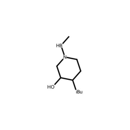 CBN1CCC(C(C)CC)C(O)C1